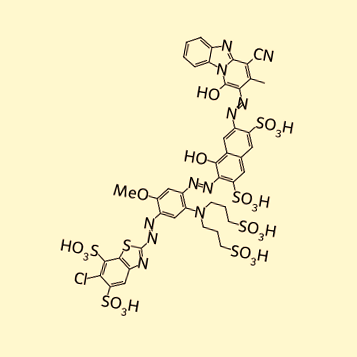 COc1cc(N=Nc2c(S(=O)(=O)O)cc3cc(S(=O)(=O)O)c(N=Nc4c(C)c(C#N)c5nc6ccccc6n5c4O)cc3c2O)c(N(CCCS(=O)(=O)O)CCCS(=O)(=O)O)cc1N=Nc1nc2cc(S(=O)(=O)O)c(Cl)c(S(=O)(=O)O)c2s1